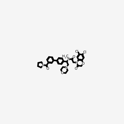 CN(C(=O)CN1C(=O)COc2cc(Cl)c(Cl)cc21)C(CN1CCOCC1)c1ccc(-c2cccc(C(=O)N3CCCC3)c2)cc1